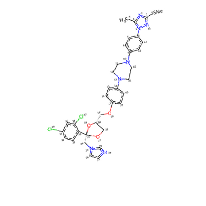 CSc1nc(C)n(-c2ccc(N3CCN(c4ccc(OC[C@@H]5CO[C@@](Cn6ccnc6)(c6ccc(Cl)cc6Cl)O5)cc4)CC3)cc2)n1